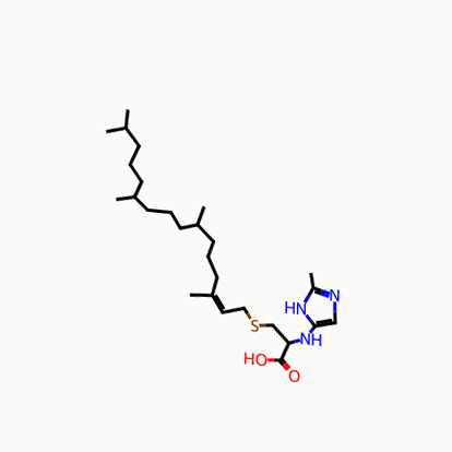 CC(=CCSCC(Nc1cnc(C)[nH]1)C(=O)O)CCCC(C)CCCC(C)CCCC(C)C